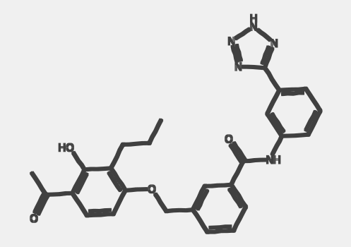 CCCc1c(OCc2cccc(C(=O)Nc3cccc(-c4nn[nH]n4)c3)c2)ccc(C(C)=O)c1O